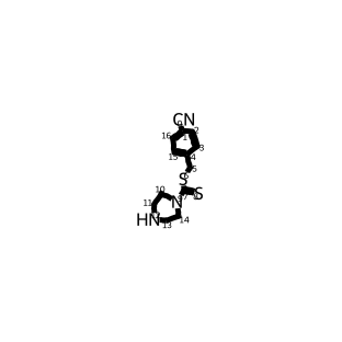 N#Cc1ccc(CSC(=S)N2CCNCC2)cc1